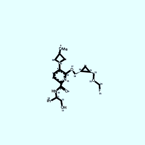 COC1CN(c2ccc(C(=O)NC(CO)C(C)C)nc2OC[C@@H]2C[C@@H]2COCF)C1